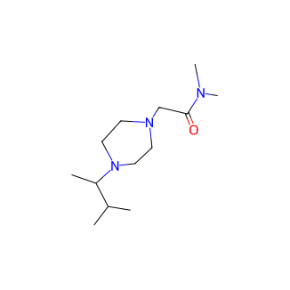 CC(C)C(C)N1CCN(CC(=O)N(C)C)CC1